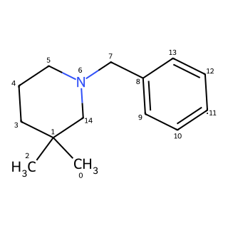 CC1(C)CCCN(Cc2cc[c]cc2)C1